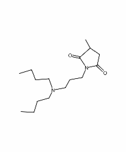 CCCCN(CCCC)CCCN1C(=O)CC(C)C1=O